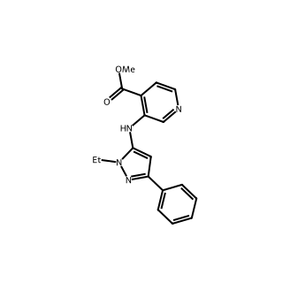 CCn1nc(-c2ccccc2)cc1Nc1cnccc1C(=O)OC